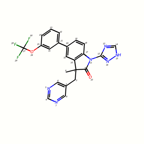 CC1(Cc2cncnc2)C(=O)N(c2nc[nH]n2)c2ccc(-c3cccc(OC(F)(F)F)c3)cc21